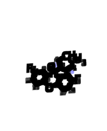 C/C=C\C(=C/C)P1(=O)c2cc(F)ccc2Oc2ccc(F)cc21